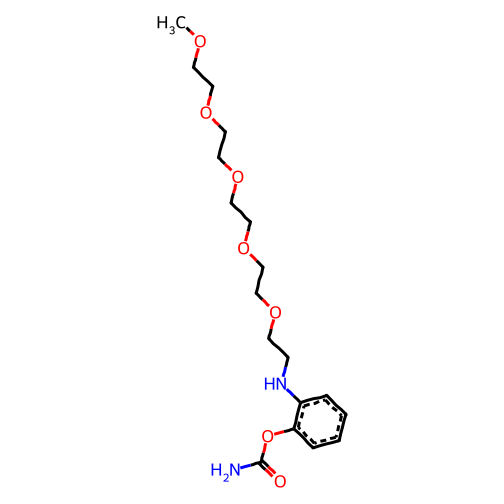 COCCOCCOCCOCCOCCNc1ccccc1OC(N)=O